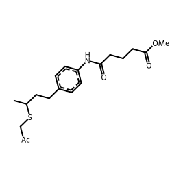 COC(=O)CCCC(=O)Nc1ccc(CCC(C)SCC(C)=O)cc1